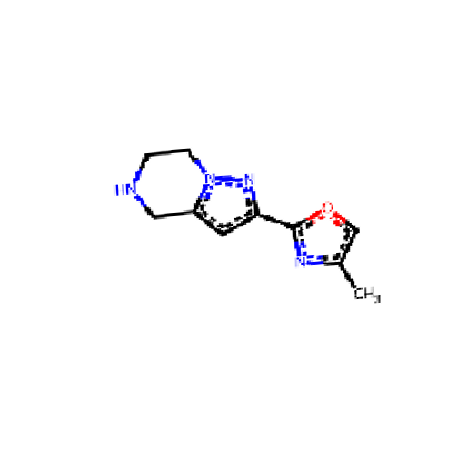 Cc1coc(-c2cc3n(n2)CCNC3)n1